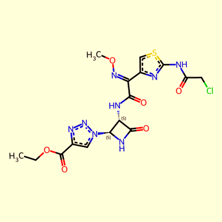 CCOC(=O)c1cn([C@@H]2NC(=O)[C@H]2NC(=O)C(=NOC)c2csc(NC(=O)CCl)n2)nn1